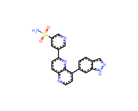 NS(=O)(=O)c1cncc(-c2ccc3nccc(-c4ccc5cn[nH]c5c4)c3n2)c1